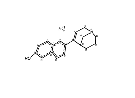 Cl.Oc1ccc2cc(C3=CCN4CCCC3C4)ccc2c1